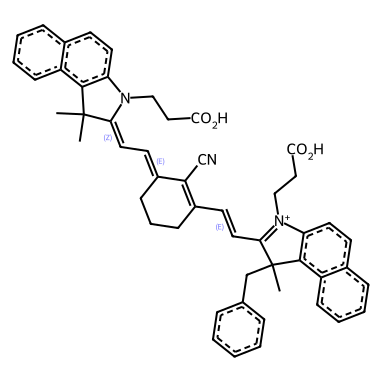 CC1(Cc2ccccc2)C(/C=C/C2=C(C#N)C(=C/C=C3\N(CCC(=O)O)c4ccc5ccccc5c4C3(C)C)/CCC2)=[N+](CCC(=O)O)c2ccc3ccccc3c21